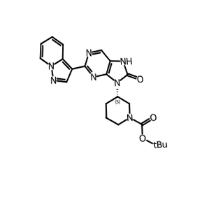 CC(C)(C)OC(=O)N1CCC[C@H](n2c(=O)[nH]c3cnc(-c4cnn5ccccc45)nc32)C1